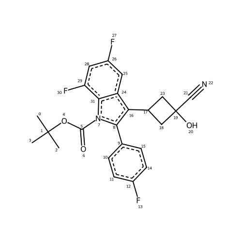 CC(C)(C)OC(=O)n1c(-c2ccc(F)cc2)c(C2CC(O)(C#N)C2)c2cc(F)cc(F)c21